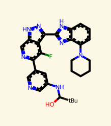 CC(C)(C)C(O)Nc1cncc(-c2ncc3[nH]nc(-c4nc5c(N6CCCCC6)cccc5[nH]4)c3c2F)c1